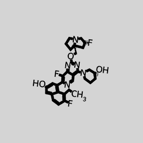 CCc1c(F)ccc2cc(O)cc(-c3ncc4c(N5CCC[C@@H](O)C5)nc(OC[C@@]56CCCN5C[C@H](F)C6)nc4c3F)c12